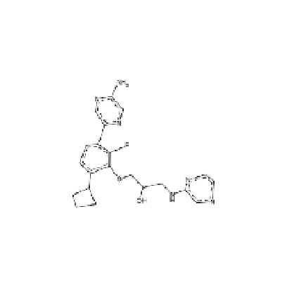 Nc1cnc(-c2ccc(C3CCC3)c(OCC(O)CNc3cnccn3)c2F)cn1